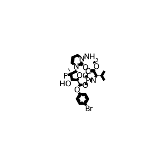 COC(=O)[C@@H](N=[P+]([O-])OC(Oc1ccc(Br)cc1)[C@@H]1O[C@@H](N2C=CCN(N)C2=O)[C@](C)(F)[C@@H]1O)C(C)C